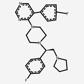 Fc1ccc(-c2cncnc2N2CCN([C@@H](CN3CCCC3)c3ccc(F)cc3)CC2)cc1